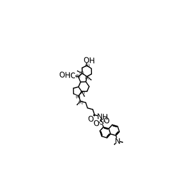 C[C@H](CCCC(=O)NS(=O)(=O)c1cccc2c(N(C)C)cccc12)[C@H]1CCC2C3C(CC[C@@]21C)[C@@]1(C)CC[C@H](O)C[C@@]1(C)[C@@H]3C=O